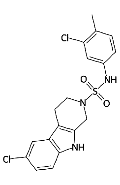 Cc1ccc(NS(=O)(=O)N2CCc3c([nH]c4ccc(Cl)cc34)C2)cc1Cl